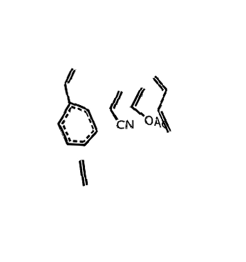 C=C.C=CC#N.C=CC=C.C=COC(C)=O.C=Cc1ccccc1